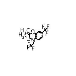 CC1(C)CN(CC(F)(F)F)c2ccc(C(F)(F)F)cc2O1